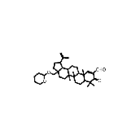 C=C(C)C1CCC2(COC3CCCCO3)CCC3(C)C(CCC4C5(C)C=C(C=O)C(=O)C(C)(C)C5CCC43C)C12